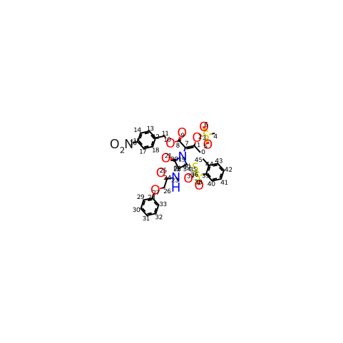 CC(OS(C)(=O)=O)=C(C(=O)OCc1ccc([N+](=O)[O-])cc1)N1C(=O)[C@@H](NC(=O)COc2ccccc2)[C@H]1SS(=O)(=O)c1ccccc1C